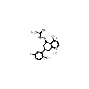 Cc1ccnc2c1C(=NNC(=N)N)CC(c1cc(F)ccc1O)C2.Cl